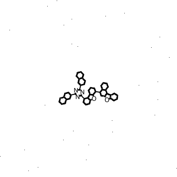 c1ccc2cc(-c3nc(-c4ccc5ccccc5c4)nc(-c4cccc5oc6c(-c7cc8oc9ccccc9c8c8ccccc78)cccc6c45)n3)ccc2c1